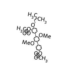 COc1cc(-c2ccc(OCC=C(C)C)c(OS(C)(=O)=O)c2)c(OC)cc1-c1ccc(OS(C)(=O)=O)cc1